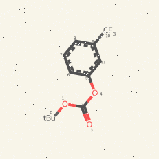 CC(C)(C)OC(=O)Oc1cccc(C(F)(F)F)c1